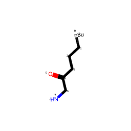 CCCCCCCC(=O)C[NH]